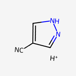 N#Cc1cn[nH]c1.[H+]